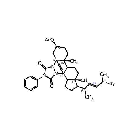 CC(=O)O[C@H]1CC[C@]2(C)C3CC[C@]4(C)C([C@H](C)/C=C/[C@H](C)C(C)C)CCC4[C@@]34C=C[C@]2(C1)n1c(=O)n(-c2ccccc2)c(=O)n14